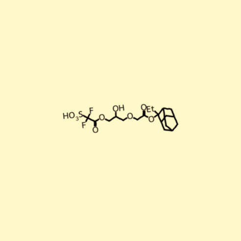 CCC1(OC(=O)COCC(O)COC(=O)C(F)(F)S(=O)(=O)O)C2CC3CC(C2)CC1C3